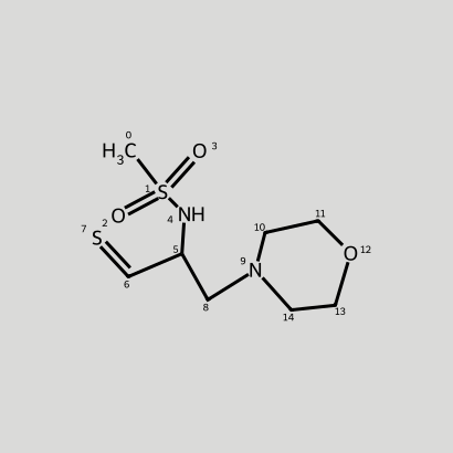 CS(=O)(=O)NC(C=S)CN1CCOCC1